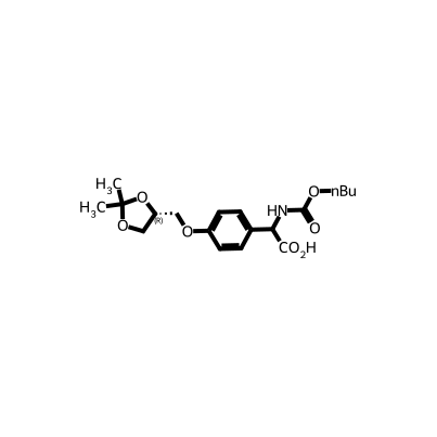 CCCCOC(=O)NC(C(=O)O)c1ccc(OC[C@@H]2COC(C)(C)O2)cc1